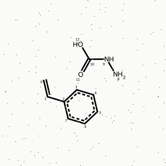 C=Cc1ccccc1.NNC(=O)O